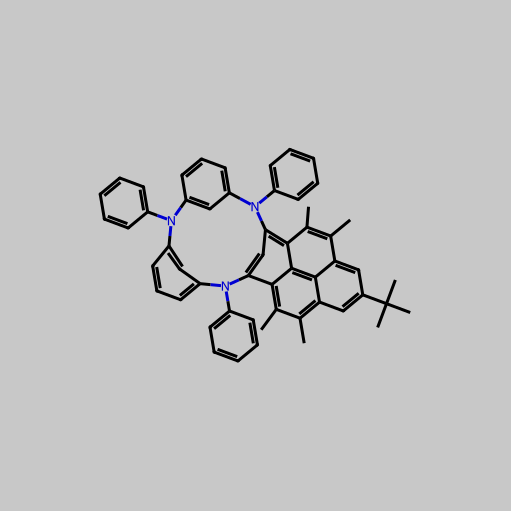 Cc1c(C)c2c3cc(c4c(C)c(C)c5cc(C(C)(C)C)cc1c5c24)N(c1ccccc1)c1cccc(c1)N(c1ccccc1)c1cccc(c1)N3c1ccccc1